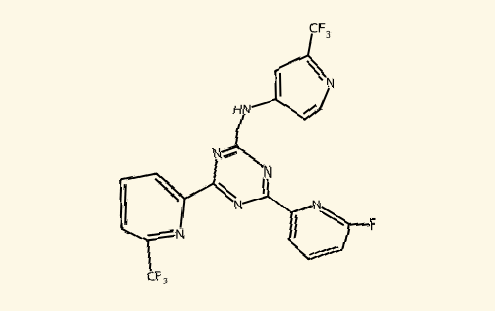 Fc1cccc(-c2nc(Nc3ccnc(C(F)(F)F)c3)nc(-c3cccc(C(F)(F)F)n3)n2)n1